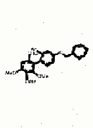 COc1cc(C=O)c(-c2ccc(OCc3ccccc3)cc2C(C)=O)c(OC)c1OC